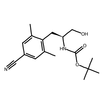 Cc1cc(C#N)cc(C)c1C[C@@H](CO)NC(=O)OC(C)(C)C